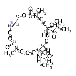 CC(C)N[C@]1(C)CCCN(C)C(=O)OC/C=C/COC(=O)N(C)CC[C@](C)(C(=O)C(C)C)NCC1=O